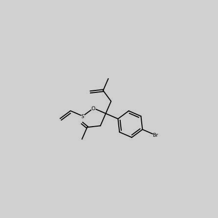 C=CSOC(CC(=C)C)(CC(=C)C)c1ccc(Br)cc1